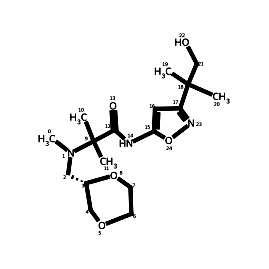 CN(C[C@H]1COCCO1)C(C)(C)C(=O)Nc1cc(C(C)(C)CO)no1